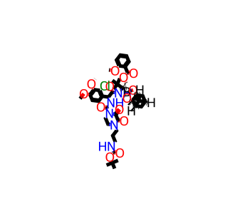 COc1ccccc1C(=O)OC[C@@](NC(=O)C(NC(=O)N1CCN(CCCNC(=O)OC(C)(C)C)C(=O)C1=O)c1ccc(OC)c(OC)c1Cl)(B1O[C@@H]2C[C@@H]3C[C@@H](C3(C)C)[C@]2(C)O1)C(C)(C)C